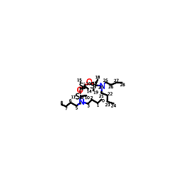 CCCCN(CCCC)[Si](C)(C)O[Si](C)(C)O[Si](C)(C)N(CCCC)CCCC